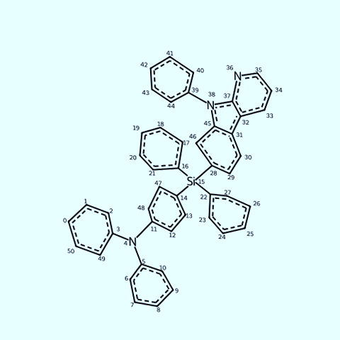 c1ccc(N(c2ccccc2)c2ccc([Si](c3ccccc3)(c3ccccc3)c3ccc4c5cccnc5n(-c5ccccc5)c4c3)cc2)cc1